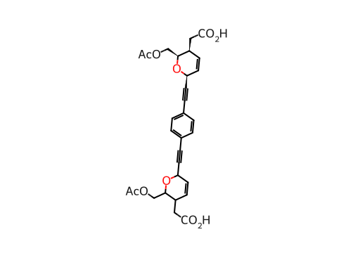 CC(=O)OCC1OC(C#Cc2ccc(C#C[C@@H]3C=C[C@H](CC(=O)O)[C@H](COC(C)=O)O3)cc2)C=CC1CC(=O)O